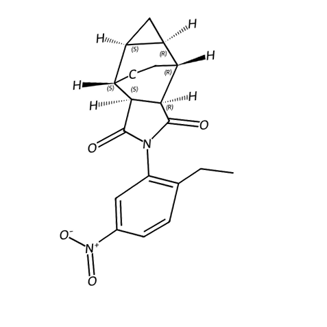 CCc1ccc([N+](=O)[O-])cc1N1C(=O)[C@@H]2[C@@H]3CC[C@@H]([C@H]4C[C@H]43)[C@@H]2C1=O